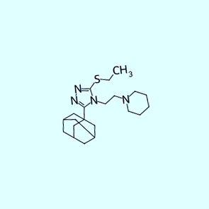 CCSc1nnc(C23CC4CC(CC(C4)C2)C3)n1CCN1CCCCC1